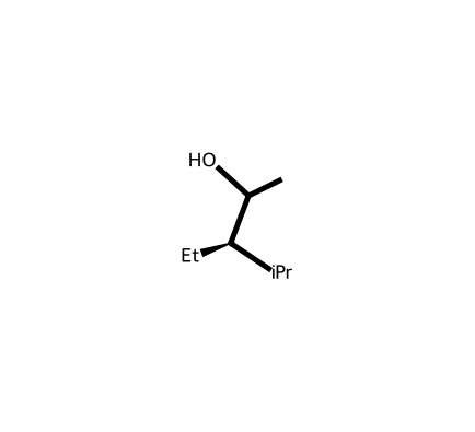 CC[C@H](C(C)C)C(C)O